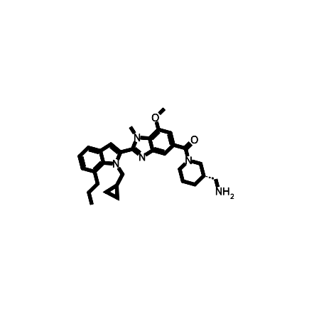 CCCc1cccc2cc(-c3nc4cc(C(=O)N5CCC[C@@H](CN)C5)cc(OC)c4n3C)n(CC3CC3)c12